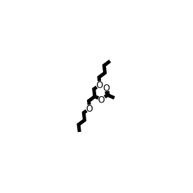 CCCCOCC(COCCCC)OC(C)=O